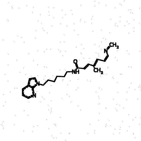 C=N\C=C/C=C(C)/C=C/C(=O)NCCCCCCn1ccc2cccnc21